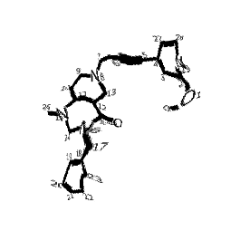 COc1cc(C#CCN2CCC3=C(C2)C(=O)N(Cc2ccccc2)CN3C)ccn1